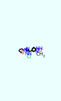 Cn1c(=O)[nH]c2ccc(-c3nc(Cl)nc4c3ncn4C3CCCCO3)cc21